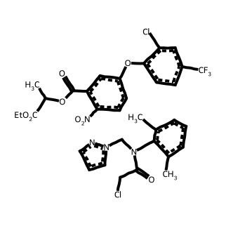 CCOC(=O)C(C)OC(=O)c1cc(Oc2ccc(C(F)(F)F)cc2Cl)ccc1[N+](=O)[O-].Cc1cccc(C)c1N(Cn1cccn1)C(=O)CCl